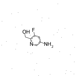 Nc1cnc(CO)c(F)c1